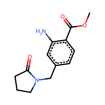 COC(=O)c1ccc(CN2CCCC2=O)cc1N